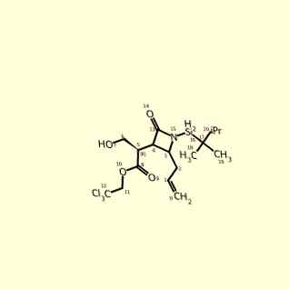 C=CCC1C([C@H](CO)C(=O)OCC(Cl)(Cl)Cl)C(=O)N1[SiH2]C(C)(C)C(C)C